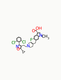 Cn1cc(C(=O)O)c2cc(F)c(CC3=CCN(CCc4c(-c5c(Cl)cccc5Cl)noc4C4CC4)CC3)cc21